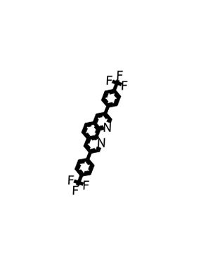 FC(F)(F)c1ccc(-c2cnc3c(ccc4cc(-c5ccc(C(F)(F)F)cc5)cnc43)c2)cc1